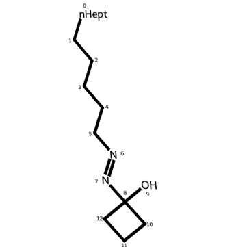 CCCCCCCCCCCCN=NC1(O)CCC1